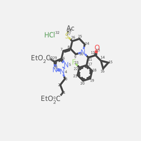 CCOC(=O)CCCn1nc(/C=C2\CN(C(C(=O)C3CC3)c3ccccc3F)CCC2SC(C)=O)c(C(=O)OCC)n1.Cl